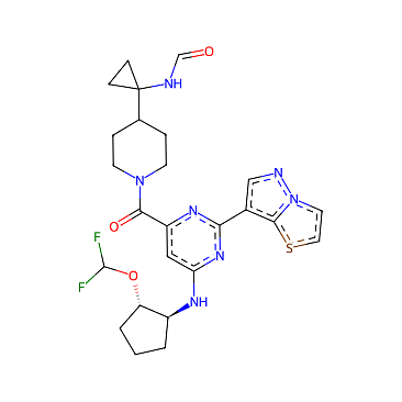 O=CNC1(C2CCN(C(=O)c3cc(N[C@H]4CCC[C@@H]4OC(F)F)nc(-c4cnn5ccsc45)n3)CC2)CC1